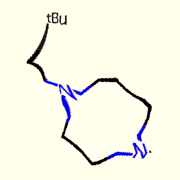 CC(C)(C)CN1CC[N]CC1